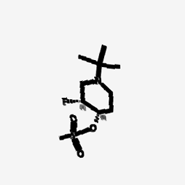 CC(C)(C)N1CC[C@H](OS(C)(=O)=O)[C@H](F)C1